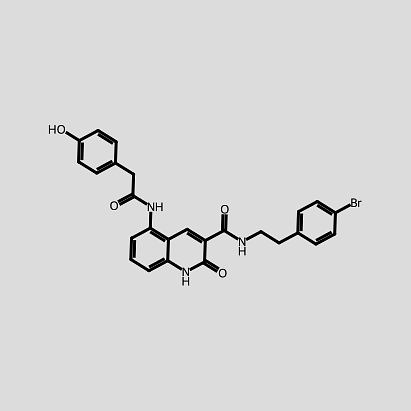 O=C(Cc1ccc(O)cc1)Nc1cccc2[nH]c(=O)c(C(=O)NCCc3ccc(Br)cc3)cc12